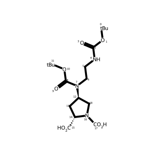 CC(C)(C)OC(=O)NCCN(C(=O)OC(C)(C)C)[C@@H]1C[C@@H](C(=O)O)N(C(=O)O)C1